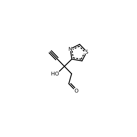 C#CC(O)(CC=O)c1cscn1